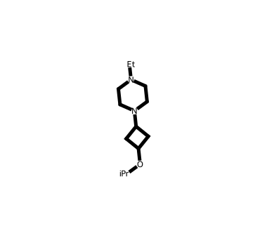 CCN1CCN(C2CC(OC(C)C)C2)CC1